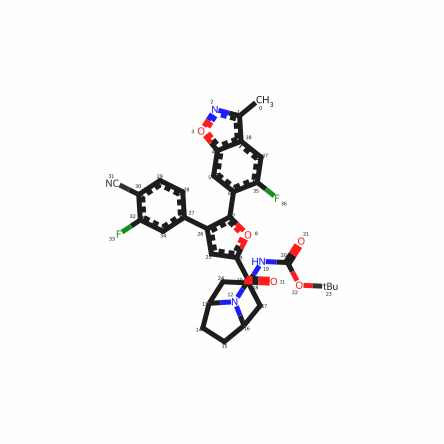 Cc1noc2cc(-c3oc(C(=O)N4C5CCC4CC(NC(=O)OC(C)(C)C)C5)cc3-c3ccc(C#N)c(F)c3)c(F)cc12